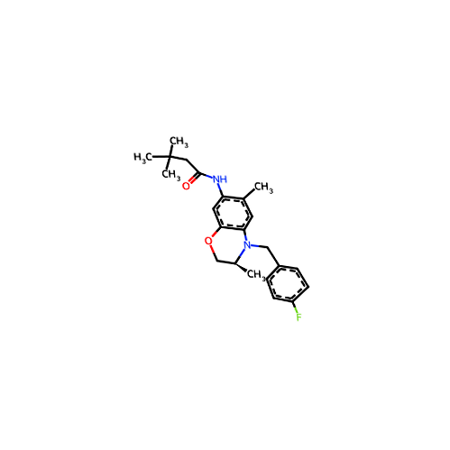 Cc1cc2c(cc1NC(=O)CC(C)(C)C)OC[C@H](C)N2Cc1ccc(F)cc1